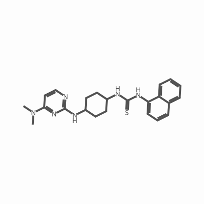 CN(C)c1ccnc(NC2CCC(NC(=S)Nc3cccc4ccccc34)CC2)n1